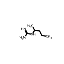 CCCC(C)NC(=N)N